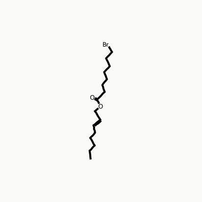 CCCCCC=CCOC(=O)CCCCCCCBr